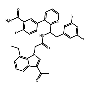 CCc1cccc2c(C(C)=O)cn(CC(=O)NC(Cc3cc(F)cc(F)c3)c3ncccc3-c3ccc(F)c(C(N)=O)c3)c12